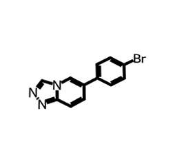 Brc1ccc(-c2ccc3nncn3c2)cc1